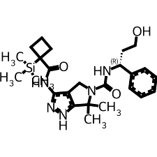 CC1(C)c2[nH]nc(NC(=O)C3([Si](C)(C)C)CCC3)c2CN1C(=O)N[C@H](CCO)c1ccccc1